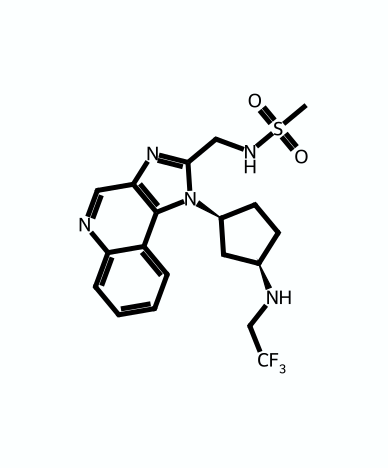 CS(=O)(=O)NCc1nc2cnc3ccccc3c2n1[C@H]1CC[C@@H](NCC(F)(F)F)C1